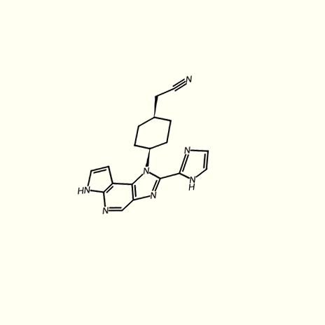 N#CC[C@H]1CC[C@@H](n2c(-c3ncc[nH]3)nc3cnc4[nH]ccc4c32)CC1